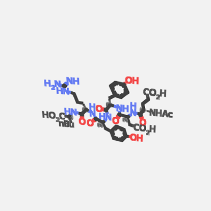 CCCC[C@H](NC(=O)[C@H](CCCNC(=N)N)NC(=O)[C@H](Cc1ccc(O)cc1)NC(=O)[C@H](Cc1ccc(O)cc1)NC(=O)[C@H](CC(=O)O)NC(=O)[C@H](CCC(=O)O)NC(C)=O)C(=O)O